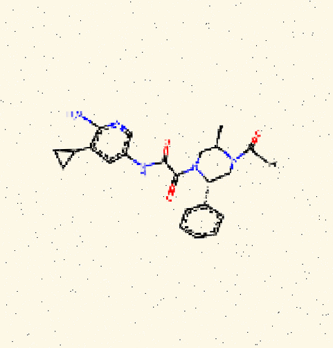 CC(C)C(=O)N1C[C@H](c2ccccc2)N(C(=O)C(=O)Nc2cnc(N)c(C3CC3)c2)C[C@H]1C